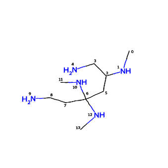 CNC(CN)CC(CCN)(NC)NC